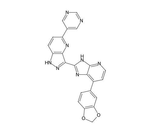 c1ncc(-c2ccc3[nH]nc(-c4nc5c(-c6ccc7c(c6)OCO7)ccnc5[nH]4)c3n2)cn1